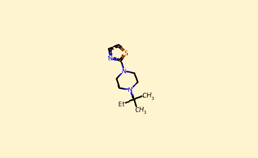 CCC(C)(C)N1CCN(c2nccs2)CC1